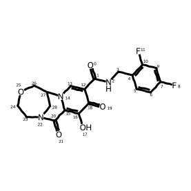 O=C(NCc1ccc(F)cc1F)c1cn2c(c(O)c1=O)C(=O)N1CCOCC2C1